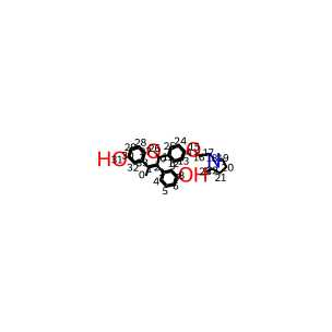 CC1=C(c2cccc(O)c2)C(c2ccc(OCCN3CCCC3C)cc2)Oc2ccc(O)cc21